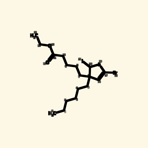 CCCCCCC1(CCCCC(=O)OCC)C=C(Br)SC1I